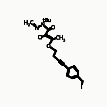 C=NN(C(=O)/C(Cl)=C(\C)OCCC#Cc1ccc(CI)cc1)C(C)(C)C